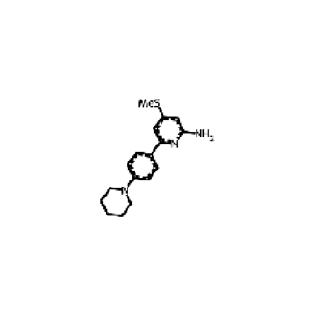 CSc1cc(N)nc(-c2ccc(N3CCCCC3)cc2)c1